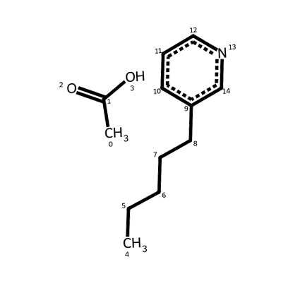 CC(=O)O.CCCCCc1cccnc1